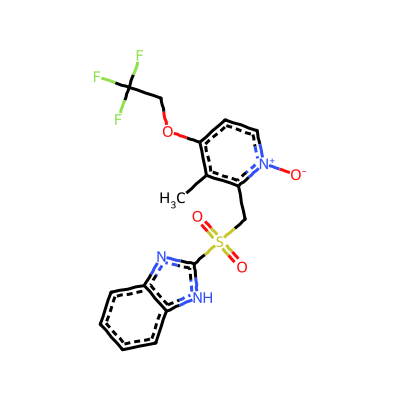 Cc1c(OCC(F)(F)F)cc[n+]([O-])c1CS(=O)(=O)c1nc2ccccc2[nH]1